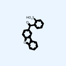 O=C(c1ccc2oc3ccccc3c2c1)c1ccccc1S(=O)(=O)O